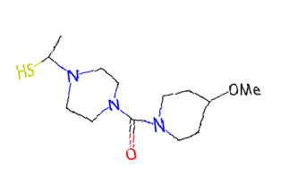 COC1CCN(C(=O)N2CCN(C(C)S)CC2)CC1